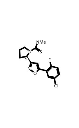 CNC(=S)N1CCC[C@@H]1c1cc(-c2cc(Cl)ccc2F)on1